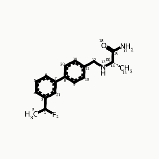 CC(F)c1cccc(-c2ccc(CN[C@@H](C)C(N)=O)cc2)c1